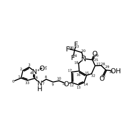 Cc1cc[n+]([O-])c(NCCCOc2ccc3c(c2)CN(CC(F)(F)F)C(=O)C(CC(=O)O)C3)c1